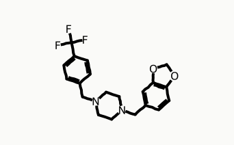 FC(F)(F)c1ccc(CN2CCN(Cc3ccc4c(c3)OCO4)CC2)cc1